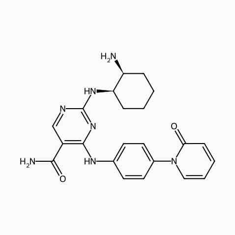 NC(=O)c1cnc(N[C@@H]2CCCC[C@@H]2N)nc1Nc1ccc(-n2ccccc2=O)cc1